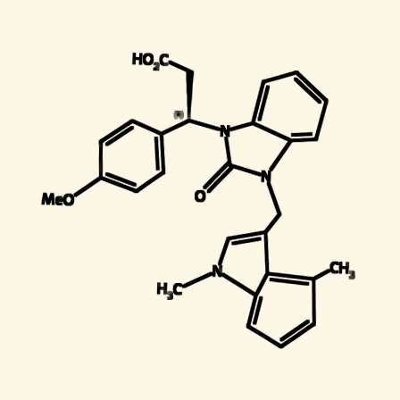 COc1ccc([C@@H](CC(=O)O)n2c(=O)n(Cc3cn(C)c4cccc(C)c34)c3ccccc32)cc1